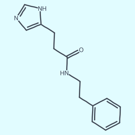 O=C(CCc1cnc[nH]1)NCCc1ccccc1